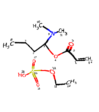 C=CC(=O)OC(CCC)N(C)C.CCOS(=O)(=O)O